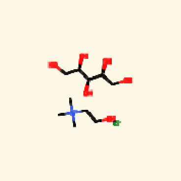 C[N+](C)(C)CCO.OC[C@@H](O)[C@H](O)[C@@H](O)CO.[Cl-]